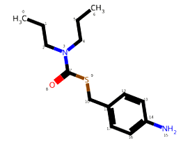 CCCN(CCC)C(=O)SCc1ccc(N)cc1